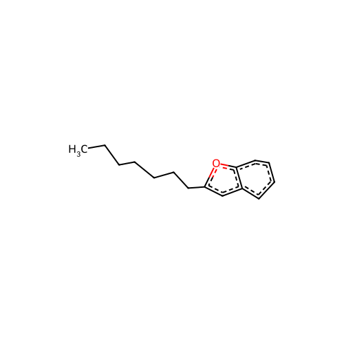 CCCCCCCc1cc2ccccc2o1